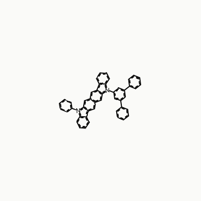 c1ccc(-c2cc(-c3ccccc3)cc(-n3c4ccccc4c4cc5cc6c(cc5cc43)c3ccccc3n6-c3ccccc3)c2)cc1